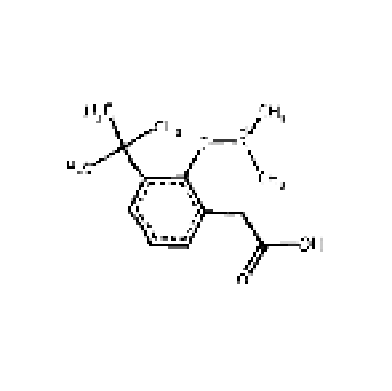 C[SiH](C)Oc1c(CC(=O)O)cccc1C(C)(C)C